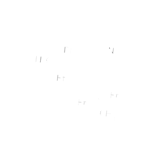 CCC(C)(CC)c1cc(C(C)(CC)CC)c2cccnc2c1